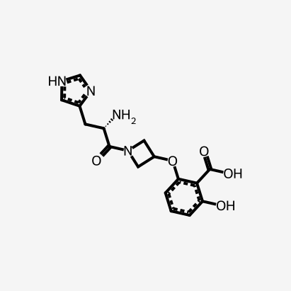 N[C@@H](Cc1c[nH]cn1)C(=O)N1CC(Oc2cccc(O)c2C(=O)O)C1